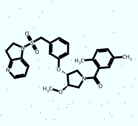 CO[C@@H]1CN(C(=O)c2cc(C)ccc2C)C[C@H]1Oc1cccc(CS(=O)(=O)N2CCc3ncccc32)c1